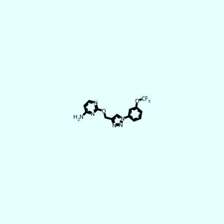 Nc1ccnc(OCc2cn(-c3cccc(OC(F)(F)F)c3)nn2)n1